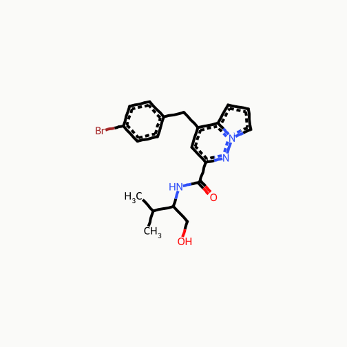 CC(C)C(CO)NC(=O)c1cc(Cc2ccc(Br)cc2)c2cccn2n1